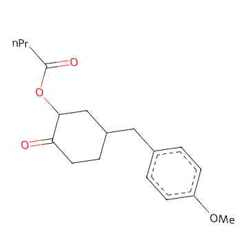 CCCC(=O)OC1CC(Cc2ccc(OC)cc2)CCC1=O